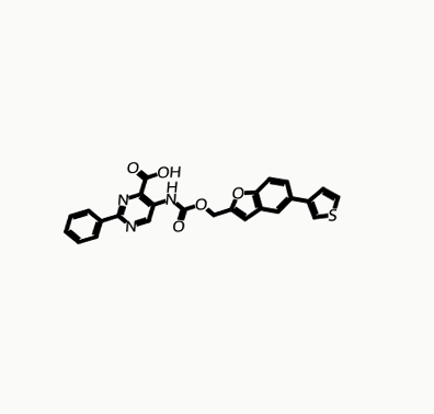 O=C(Nc1cnc(-c2ccccc2)nc1C(=O)O)OCc1cc2cc(-c3ccsc3)ccc2o1